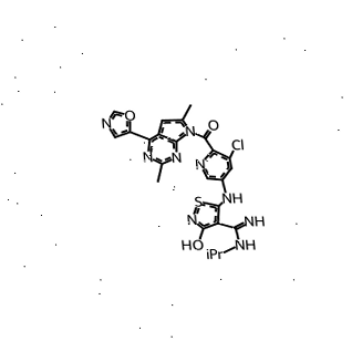 Cc1nc(-c2cnco2)c2cc(C)n(C(=O)c3ncc(Nc4snc(O)c4C(=N)NC(C)C)cc3Cl)c2n1